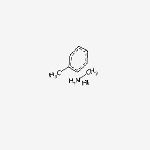 CN.Cc1ccccc1.I